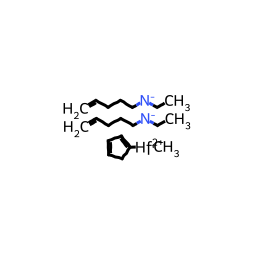 C=CCCC[N-]CC.C=CCCC[N-]CC.[CH3][Hf+2][C]1=CC=CC1